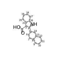 O=C(O)c1c(-c2ccc3ccccc3c2)[nH]c2ccccc12